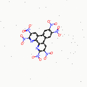 O=[N+]([O-])c1cc2c(cc1[N+](=O)[O-])c1cc([N+](=O)[O-])c([N+](=O)[O-])nc1c1nc([N+](=O)[O-])c([N+](=O)[O-])cc21